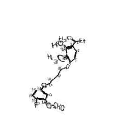 C=C(CC)c1ccc(OCCCCOc2ccc(F)c(OC=O)c2)c(C)c1O